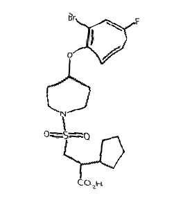 O=C(O)C(CS(=O)(=O)N1CCC(Oc2ccc(F)cc2Br)CC1)C1CCCC1